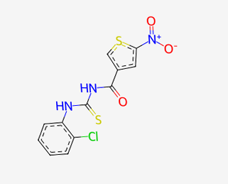 O=C(NC(=S)Nc1ccccc1Cl)c1csc([N+](=O)[O-])c1